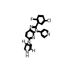 Fc1ccc(Cl)cc1-c1nc2ccc(N3C[C@H]4C[C@@H]3CN4)nc2n1-c1ccncc1